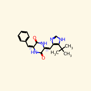 CC(C)(C)c1[nH]cnc1/C=c1\[nH]c(=O)/c(=C\c2ccccc2)[nH]c1=O